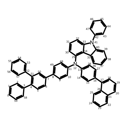 c1ccc(-c2ccc(-c3ccc(N(c4ccc(-c5cccc6ccccc56)cc4)c4cccc5c4c4ccccc4n5-c4ccccc4)cc3)cc2-c2ccccc2)cc1